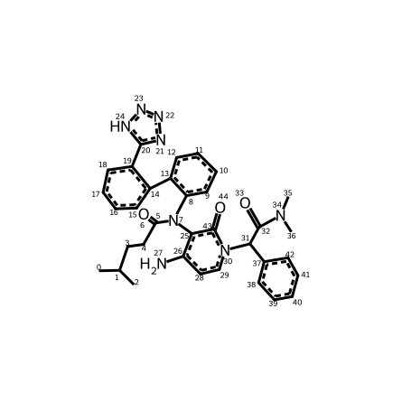 CC(C)CCC(=O)N(c1ccccc1-c1ccccc1-c1nnn[nH]1)c1c(N)ccn(C(C(=O)N(C)C)c2ccccc2)c1=O